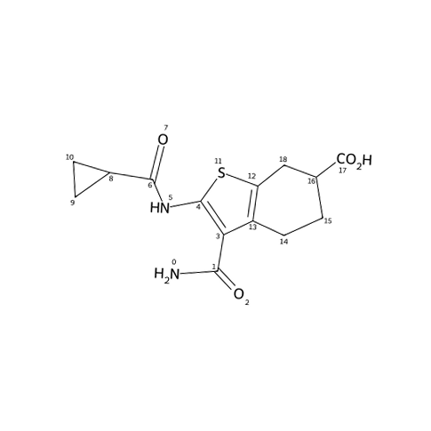 NC(=O)c1c(NC(=O)C2CC2)sc2c1CCC(C(=O)O)C2